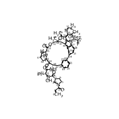 C=CC(=O)N1CC[C@H](C(=O)N(C)[C@H](C(=O)N[C@H]2Cc3cccc(c3)-c3ccc4c(c3)c(c(/C(C=C)=C(/N=C\C)[C@H](C)OC)n4CC(F)F)CC(C)(C)COC(=O)[C@@H]3CCCN(N3)C2=O)C(C)C)C1